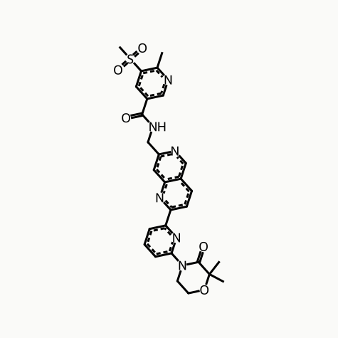 Cc1ncc(C(=O)NCc2cc3nc(-c4cccc(N5CCOC(C)(C)C5=O)n4)ccc3cn2)cc1S(C)(=O)=O